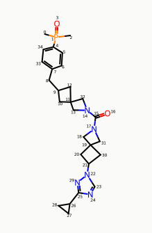 CP(C)(=O)c1ccc(CC2CC3(C2)CN(C(=O)N2CC4(CC(n5cnc(C6CC6)n5)C4)C2)C3)cc1